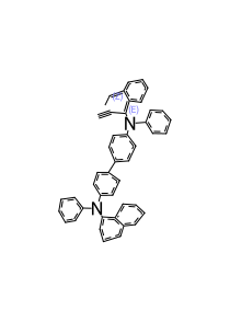 C#C/C(=c1/cccc/c1=C/C)N(c1ccccc1)c1ccc(-c2ccc(N(c3ccccc3)c3cccc4ccccc34)cc2)cc1